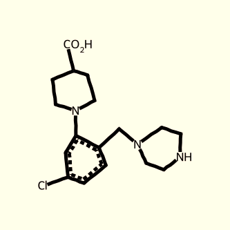 O=C(O)C1CCN(c2cc(Cl)ccc2CN2CCNCC2)CC1